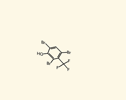 Oc1c(Br)cc(Br)c(C(F)(F)F)c1Br